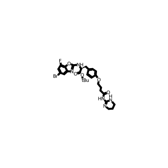 CC(C)(C)OC(=O)[C@H](Cc1ccc(OCCCC(=O)NC2=NCCCN2)cc1)Nc1nc2cc(Br)cc(F)c2o1